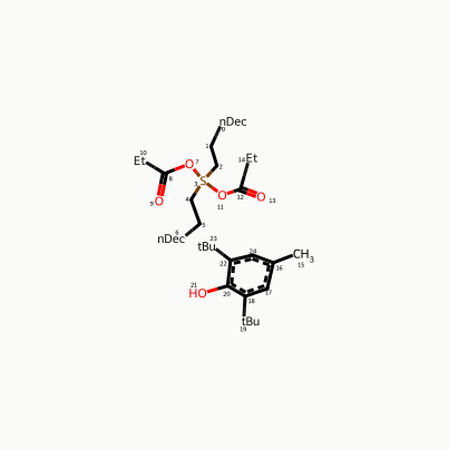 CCCCCCCCCCCCS(CCCCCCCCCCCC)(OC(=O)CC)OC(=O)CC.Cc1cc(C(C)(C)C)c(O)c(C(C)(C)C)c1